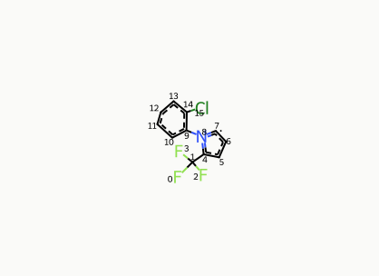 FC(F)(F)c1cc[c]n1-c1ccccc1Cl